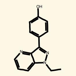 CCn1nc(-c2ccc(O)cc2)c2ncccc21